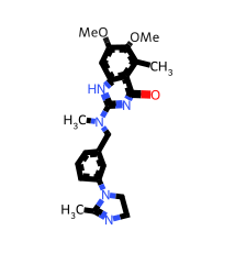 COc1cc2[nH]c(N(C)Cc3cccc(N4CCN=C4C)c3)nc(=O)c2c(C)c1OC